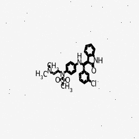 CN(C)CCN(c1ccc(NC(=C2C(=O)Nc3ccccc32)c2cccc(Cl)c2)cc1)S(C)(=O)=O